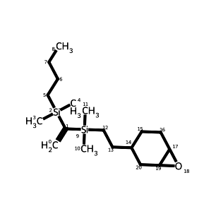 C=C([Si](C)(C)CCCC)[Si](C)(C)CCC1CCC2OC2C1